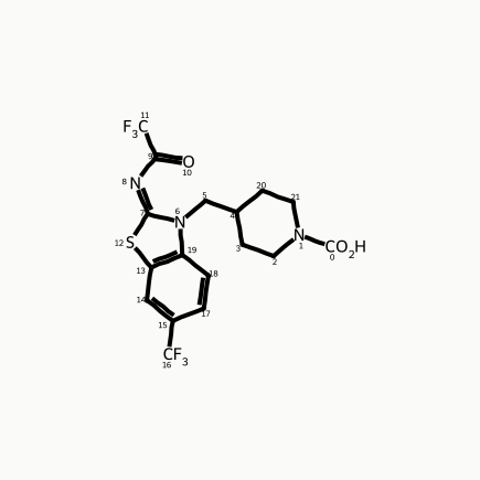 O=C(O)N1CCC(Cn2c(=NC(=O)C(F)(F)F)sc3cc(C(F)(F)F)ccc32)CC1